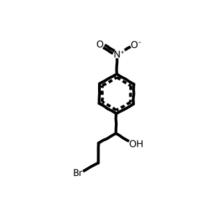 O=[N+]([O-])c1ccc(C(O)CCBr)cc1